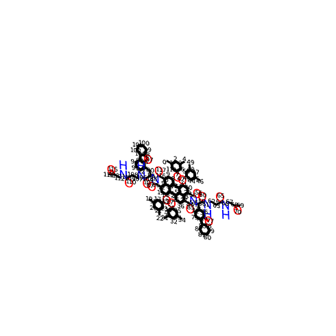 Cc1cc(C)cc(Oc2cc3c4c(cc(Oc5cc(C)cc(C)c5)c5c6c(Oc7cc(C)cc(C)c7)cc7c8c(cc(Oc9cc(C)cc(C)c9)c(c2c45)c86)C(=O)N(C(C(=O)NCCC(=O)NCC2CO2)c2ccc4c(c2)oc2ccccc24)C7=O)C(=O)N(C(Cc2cccc4c2oc2ccccc24)C(=O)NCCC(=O)NCC2CO2)C3=O)c1